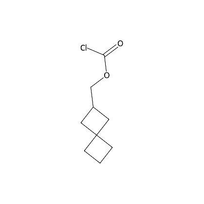 O=C(Cl)OCC1CC2(CCC2)C1